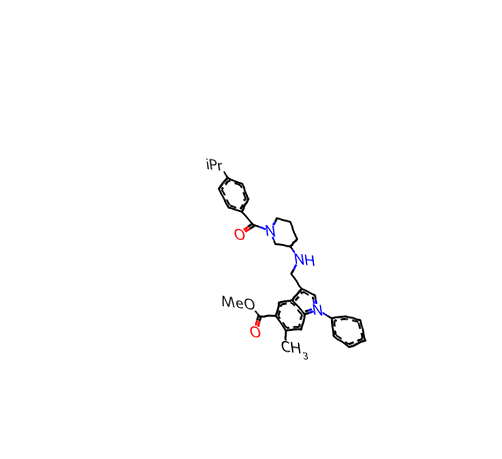 COC(=O)c1cc2c(CNC3CCCN(C(=O)c4ccc(C(C)C)cc4)C3)cn(-c3ccccc3)c2cc1C